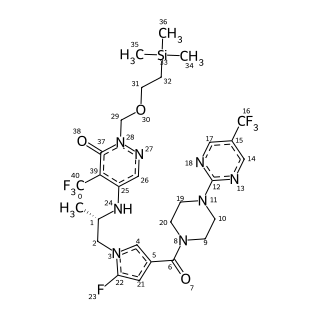 C[C@@H](Cn1cc(C(=O)N2CCN(c3ncc(C(F)(F)F)cn3)CC2)cc1F)Nc1cnn(COCC[Si](C)(C)C)c(=O)c1C(F)(F)F